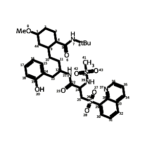 COC1CCC(C(=O)NC(C)(C)C)C(CCC(Cc2ccccc2O)NC(=O)C(CS(=O)(=O)c2cccc3cccnc23)NS(C)(=O)=O)C1